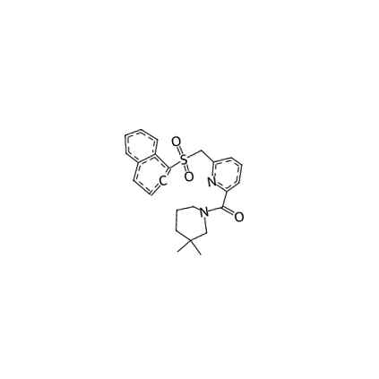 CC1(C)CCCN(C(=O)c2cccc(CS(=O)(=O)c3cccc4ccccc34)n2)C1